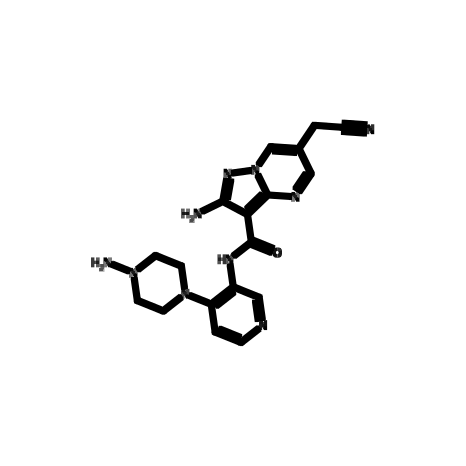 N#CCc1cnc2c(C(=O)Nc3cnccc3N3CCN(N)CC3)c(N)nn2c1